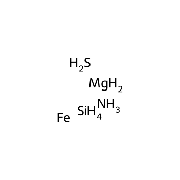 N.S.[Fe].[MgH2].[SiH4]